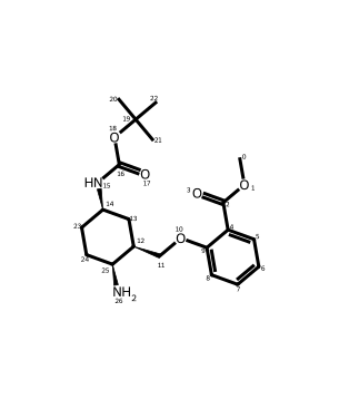 COC(=O)c1ccccc1OC[C@@H]1C[C@H](NC(=O)OC(C)(C)C)CC[C@@H]1N